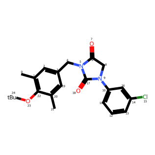 Cc1cc(CN2C(=O)CN(c3cccc(Cl)c3)C2=O)cc(C)c1OC(C)(C)C